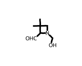 CC1(C)CN(CO)C1C=O